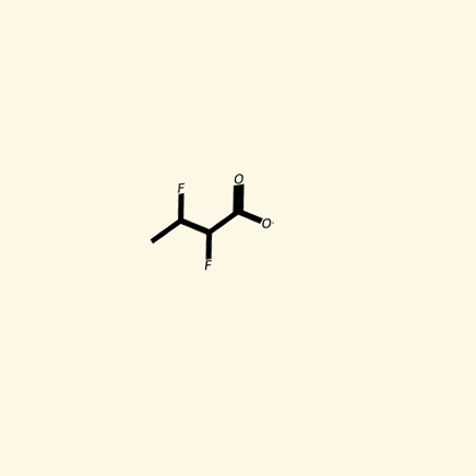 CC(F)C(F)C([O])=O